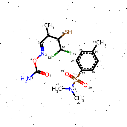 CC(C=NOC(N)=O)C(S)C(F)F.Cc1ccc(S(=O)(=O)N(C)C)cc1